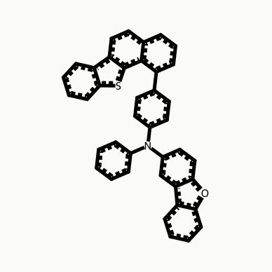 c1ccc(N(c2ccc(-c3cccc4ccc5c6ccccc6sc5c34)cc2)c2ccc3oc4ccccc4c3c2)cc1